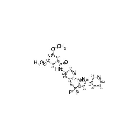 COc1cc(OC)cc(C(=O)Nc2ccc(-n3nc(-c4cccnc4)cc3C(F)(F)F)nc2)c1